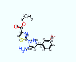 CCOC(=O)c1csc(-n2nc(-c3cccc(Br)c3)cc2N)n1